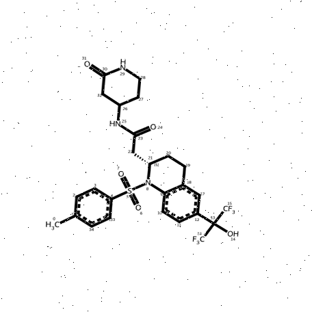 Cc1ccc(S(=O)(=O)N2c3ccc(C(O)(C(F)(F)F)C(F)(F)F)cc3CC[C@H]2CC(=O)NC2CCNC(=O)C2)cc1